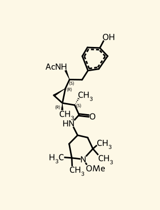 CON1C(C)(C)CC(NC(=O)[C@@H](C)[C@]2(C)C[C@H]2[C@H](Cc2ccc(O)cc2)NC(C)=O)CC1(C)C